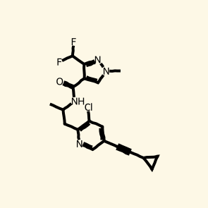 CC(Cc1ncc(C#CC2CC2)cc1Cl)NC(=O)c1cn(C)nc1C(F)F